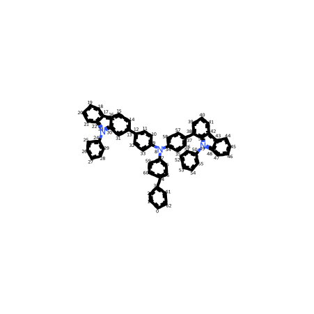 c1ccc(-c2ccc(N(c3ccc(-c4ccc5c6ccccc6n(-c6ccccc6)c5c4)cc3)c3ccc(-c4cccc5c6ccccc6n(-c6ccccc6)c45)cc3)cc2)cc1